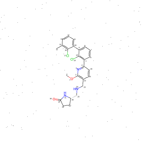 COc1nc(-c2cccc(-c3cccc(C)c3Cl)c2Cl)ccc1CNC[C@@H]1CCC(=O)N1